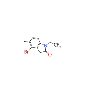 Cc1ccc2c(c1Br)CC(=O)N2CC(F)(F)F